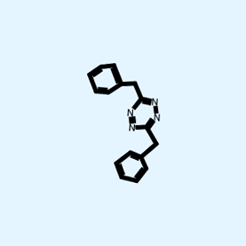 c1ccc(Cc2nnc(Cc3ccccc3)nn2)cc1